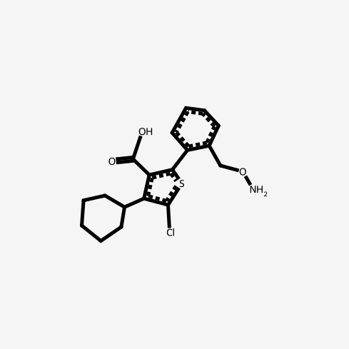 NOCc1ccccc1-c1sc(Cl)c(C2CCCCC2)c1C(=O)O